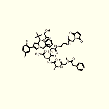 C[C@H](NC(=O)CN(C)C(=O)Cc1ccncc1)C(=O)N[C@@H](CC(N)=O)C(=O)N[C@@H](CCN(C(=O)CO)[C@@H](c1cc(-c2cc(F)ccc2F)cn1Cc1ccccc1)C(C)(C)C)C(=O)NCCNC(=O)CN1C(=O)C=CC1=O